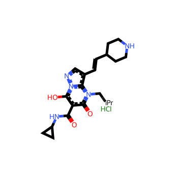 CC(C)Cn1c(=O)c(C(=O)NC2CC2)c(O)n2ncc(C=CC3CCNCC3)c12.Cl